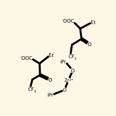 CC(C)[O][Zr+2][O]C(C)C.CCC(C(=O)[O-])C(=O)CC(F)(F)F.CCC(C(=O)[O-])C(=O)CC(F)(F)F